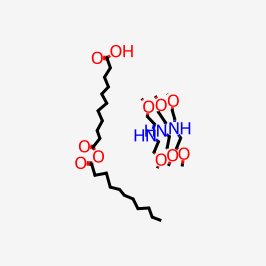 CCCCCCCCCCC(=O)OC(=O)CCCCCCCCCC(=O)O.COCCNCCOC.COCCNCCOC.COCCNCCOC